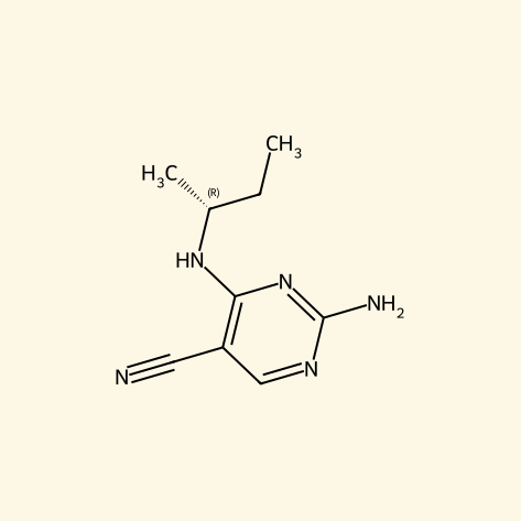 CC[C@@H](C)Nc1nc(N)ncc1C#N